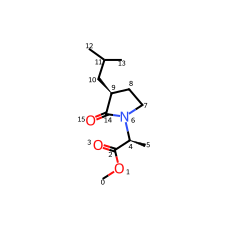 COC(=O)[C@H](C)N1CC[C@H](CC(C)C)C1=O